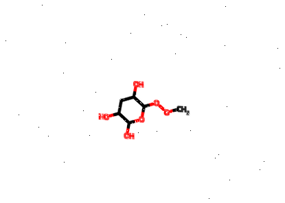 COOC1OC(O)C(O)CC1O